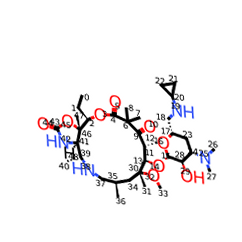 CC[C@H]1OC(=O)C(C)(C)C(=O)[C@H](C)[C@@H](O[C@@H]2O[C@H](CNC3CC3)C[C@H](N(C)C)[C@H]2O)[C@](C)(OC)C[C@@H](C)CN[C@H](C)[C@H]2NC(=O)O[C@@]21C